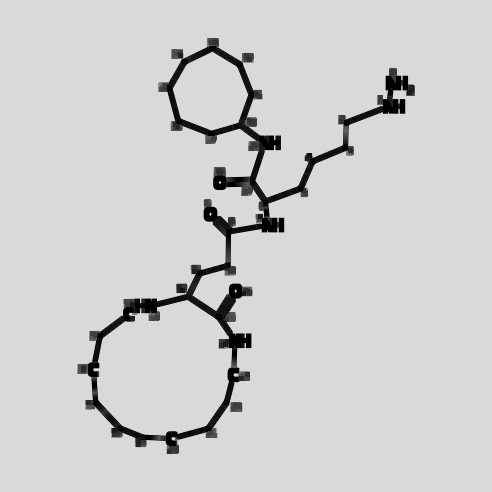 NNCCCCC(NC(=O)CCC1NCCCCCCCCCCNC1=O)C(=O)NC1CCCCCCC1